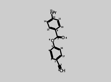 C#Cc1ccc(OC(=O)c2ccc(CCC)cc2)cc1